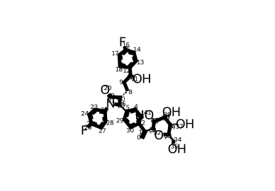 C=C(c1ccc([C@@H]2[C@@H](CC[C@H](O)c3ccc(F)cc3)C(=O)N2c2ccc(F)cc2)cc1)[C@@H]1O[C@H](CO)[C@@H](O)[C@H](O)[C@@H]1O